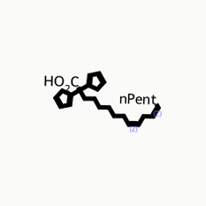 CCCCC/C=C\C/C=C\CCCCCCC(C(=O)O)(C1=CC=CC1)C1=CC=CC1